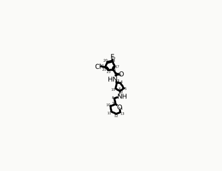 O=C(N[C@H]1CC[C@H](NCC2CCCCO2)C1)c1cc(F)cc(Cl)c1